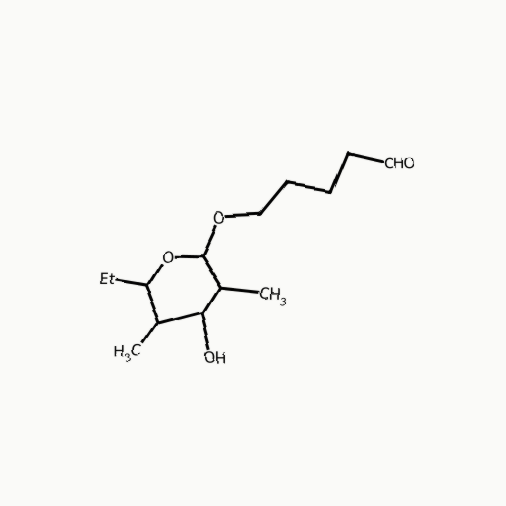 CCC1OC(OCCCCC=O)C(C)C(O)C1C